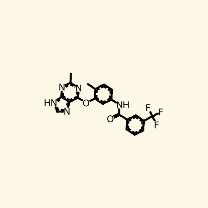 Cc1nc(Oc2cc(NC(=O)c3cccc(C(F)(F)F)c3)ccc2C)c2nc[nH]c2n1